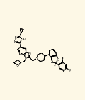 C[C@]1(c2ccc(Cl)cc2F)Oc2cccc(C3CCN(Cc4nc5cc(-c6nnc(C7CC7)[nH]6)cnc5n4C[C@@H]4CCO4)CC3)c2O1